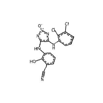 N#Cc1cccc(Nc2n[s+]([O-])nc2Nc2cccc(Cl)c2Cl)c1O